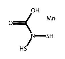 O=C(O)N(S)S.[Mn]